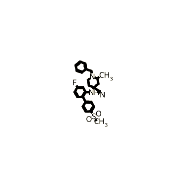 CC1CC(C#N)(Nc2cc(F)ccc2-c2ccc(S(C)(=O)=O)cc2)CCN1Cc1ccccc1